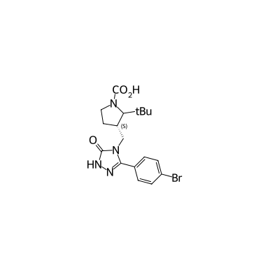 CC(C)(C)C1[C@H](Cn2c(-c3ccc(Br)cc3)n[nH]c2=O)CCN1C(=O)O